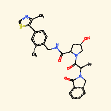 Cc1cc(-c2scnc2C)ccc1CNC(=O)C1CC(O)CN1C(=O)C(C(C)C)N1Cc2ccccc2C1=O